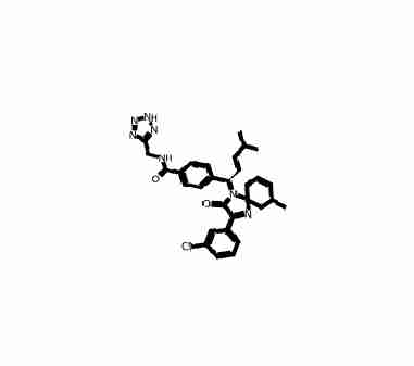 CC(C)CC[C@H](c1ccc(C(=O)NCc2nn[nH]n2)cc1)N1C(=O)C(c2cccc(Cl)c2)=NC12CC=CC(C)C2